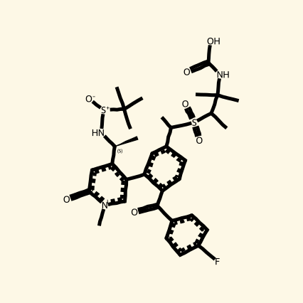 CC(c1ccc(C(=O)c2ccc(F)cc2)c(-c2cn(C)c(=O)cc2[C@H](C)N[S+]([O-])C(C)(C)C)c1)S(=O)(=O)C(C)C(C)(C)NC(=O)O